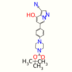 CC(C)(C)OC(=O)N1CCN(c2ccc(-c3cc(O)c4c(C#N)cnn4c3)cc2)CC1